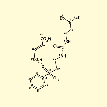 CCN(CC)CCNC(=O)NCCS(=O)(=O)c1ccccc1.O=C(O)C=CC(=O)O